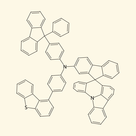 c1ccc(C2(c3ccc(N(c4ccc(-c5cccc6sc7ccccc7c56)cc4)c4ccc5c(c4)C4(c6ccccc6-5)c5ccccc5-n5c6ccccc6c6cccc4c65)cc3)c3ccccc3-c3ccccc32)cc1